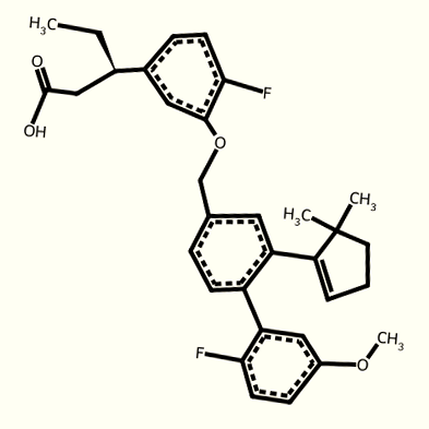 CC[C@H](CC(=O)O)c1ccc(F)c(OCc2ccc(-c3cc(OC)ccc3F)c(C3=CCCC3(C)C)c2)c1